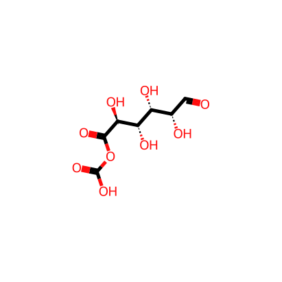 O=C[C@H](O)[C@@H](O)[C@H](O)[C@H](O)C(=O)OC(=O)O